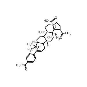 C=C(C)[C@@H]1CC[C@]2(C(=O)O)CC[C@]3(C)[C@H](CC[C@@H]4[C@@]5(C)CC=C(c6ccc(C(C)=O)cc6)C(C)(C)[C@@H]5CC[C@]43C)[C@@H]12